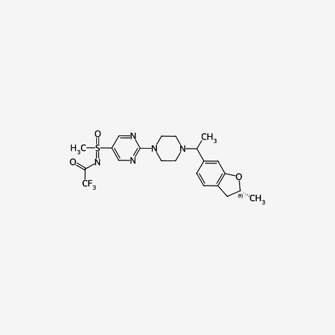 CC(c1ccc2c(c1)O[C@H](C)C2)N1CCN(c2ncc(S(C)(=O)=NC(=O)C(F)(F)F)cn2)CC1